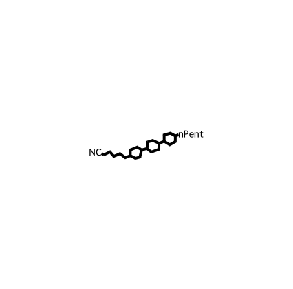 CCCCCC1CCC(C2CCC(C3CCC(CCCCCC#N)CC3)CC2)CC1